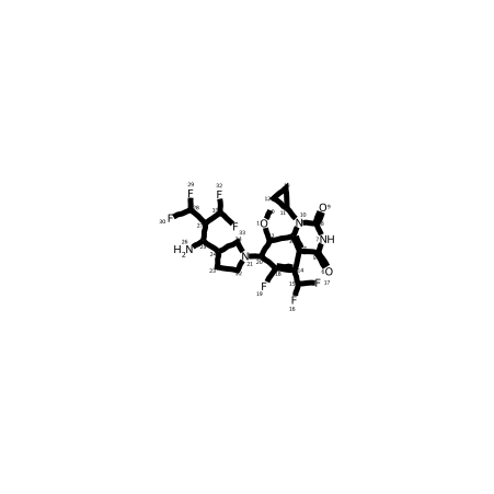 COC1c2c(c(=O)[nH]c(=O)n2C2CC2)C(C(F)F)=C(F)C1N1CCC(C(N)C(C(F)F)C(F)F)C1